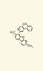 Cc1ccc2c(n1)oc1c(-c3cc(-c4ccccc4)c(C)cn3)c(C)ccc12